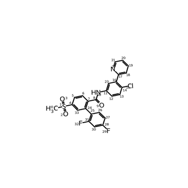 CS(=O)(=O)c1ccc(C(=O)Nc2ccc(Cl)c(-c3ccccn3)c2)c(-c2ccc(F)cc2F)c1